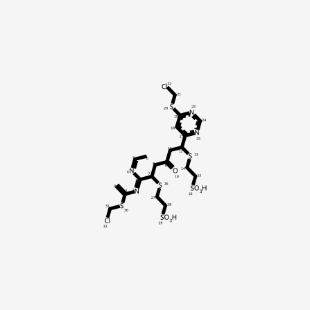 C=C(/N=C(\N=C/C)C(CC(=O)CC(SCCS(=O)(=O)O)c1cc(SCCl)ncn1)SCCS(=O)(=O)O)SCCl